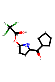 O=C(C1CCCC1)C1CCC(OC(=O)C(F)(F)F)N1